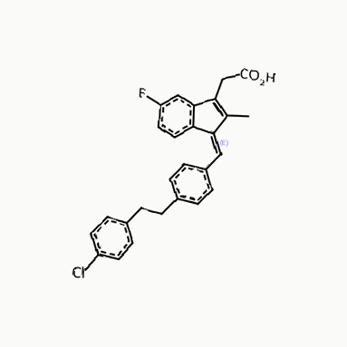 CC1=C(CC(=O)O)c2cc(F)ccc2/C1=C\c1ccc(CCc2ccc(Cl)cc2)cc1